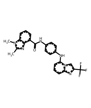 Cc1nc2c(C(=O)Nc3ccc(Nc4cccc5nc(C(F)(F)F)cn45)cc3)cccc2n1C